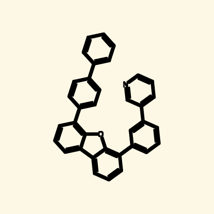 c1ccc(-c2ccc(-c3cccc4c3oc3c(-c5cccc(-c6cccnc6)c5)cccc34)cc2)cc1